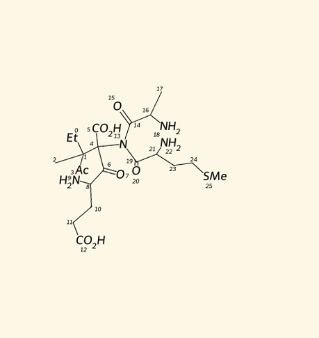 CCC(C)(C(C)=O)C(C(=O)O)(C(=O)C(N)CCC(=O)O)N(C(=O)C(C)N)C(=O)C(N)CCSC